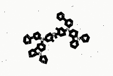 Cc1cc(N(c2cccc(-c3ccccc3)c2)c2ccc3c(c2)c2ccccc2n3-c2ccccc2)ccc1[Si](C)(C)c1ccc(N(c2cccc(-c3ccccc3)c2)c2ccc3c(c2)c2ccccc2n3-c2ccccc2)cc1C